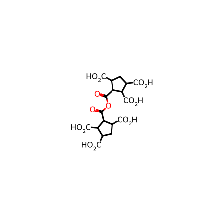 O=C(O)C1CC(C(=O)O)C(C(=O)OC(=O)C2C(C(=O)O)CC(C(=O)O)C2C(=O)O)C1C(=O)O